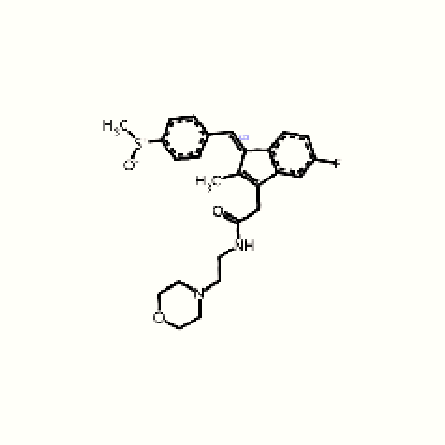 CC1=C(CC(=O)NCCN2CCOCC2)c2cc(F)ccc2/C1=C/c1ccc([S+](C)[O-])cc1